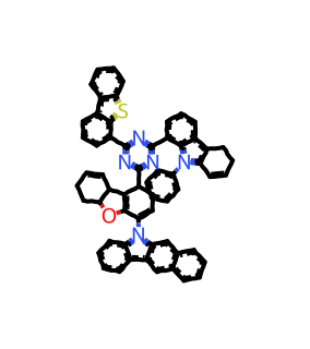 C1=Cc2c(c3cccc(-c4nc(-c5cccc6c5sc5ccccc56)nc(C5CC=C(n6c7ccccc7c7cc8ccccc8cc76)C6=C5C5C=CCCC5O6)n4)c3n2-c2ccccc2)CC1